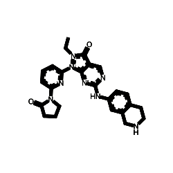 CCn1c(=O)c2cnc(Nc3ccc4c(c3)CNCC4)nc2n1-c1cccc(N2CCCC2=O)n1